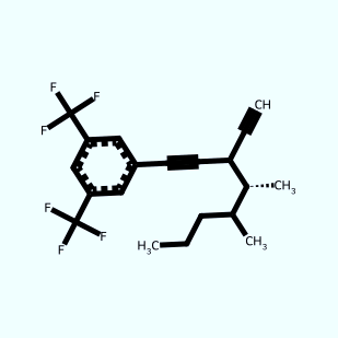 C#CC(C#Cc1cc(C(F)(F)F)cc(C(F)(F)F)c1)[C@H](C)C(C)CCC